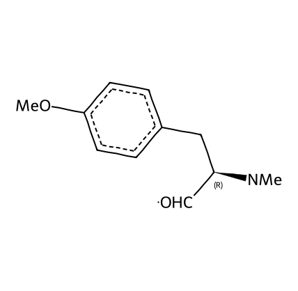 CN[C@@H]([C]=O)Cc1ccc(OC)cc1